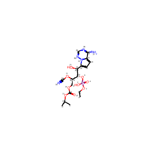 CCOP(=O)(O)O[C@H]([C@@H](COC(=O)OC(C)C)OC#N)[C@@H](O)c1ccc2c(N)ncnn12